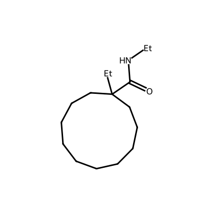 CCNC(=O)C1(CC)CCCCCCCCCC1